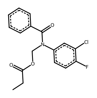 CCC(=O)OCN(C(=O)c1ccccc1)c1ccc(F)c(Cl)c1